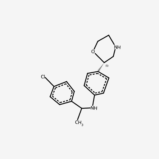 CC(Nc1ccc([C@H]2CNCCO2)cc1)c1ccc(Cl)cc1